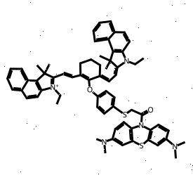 CCN1/C(=C/C=C2\CCCC(/C=C/C3=[N+](CC)c4ccc5ccccc5c4C3(C)C)=C2Oc2ccc(SCC(=O)N3c4ccc(N(C)C)cc4Sc4cc(N(C)C)ccc43)cc2)C(C)(C)c2c1ccc1ccccc21